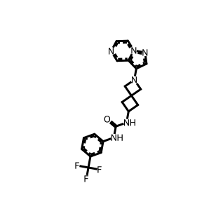 O=C(Nc1cccc(C(F)(F)F)c1)NC1CC2(C1)CN(c1cnn3ccncc13)C2